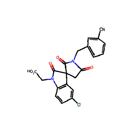 N#Cc1cccc(CN2C(=O)CC3(C2=O)C(=O)N(CC(=O)O)c2ccc(Cl)cc23)c1